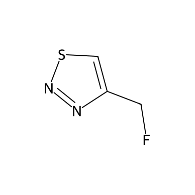 FCc1csnn1